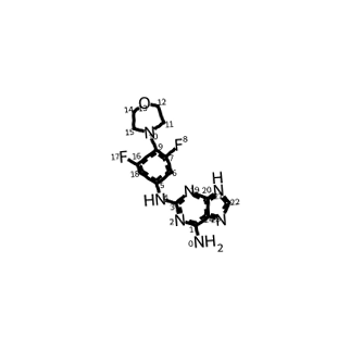 Nc1nc(Nc2cc(F)c(N3CCOCC3)c(F)c2)nc2[nH]cnc12